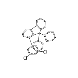 Clc1cc(Cl)cc(-c2cccc3c2C(c2ccccc2)(c2ccccc2)c2ccccc2-3)c1